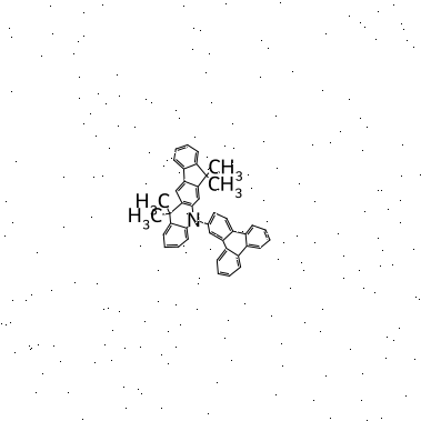 CC1(C)c2ccccc2-c2cc3c(cc21)N(c1ccc2c4ccccc4c4ccccc4c2c1)c1ccccc1C3(C)C